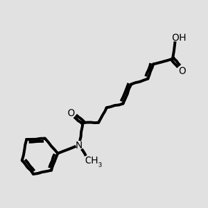 CN(C(=O)CC/C=C/C=C/C(=O)O)c1ccccc1